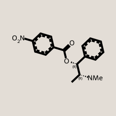 CN[C@H](C)[C@H](OC(=O)c1ccc([N+](=O)[O-])cc1)c1ccccc1